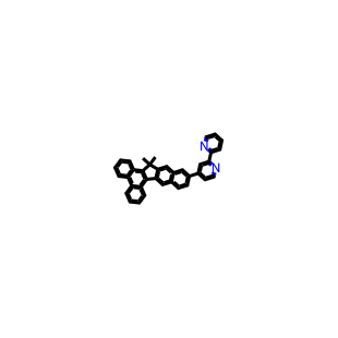 CC1(C)c2cc3cc(-c4ccnc(-c5ccccn5)c4)ccc3cc2-c2c1c1ccccc1c1ccccc21